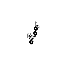 O=C(ON(CCc1cccc(F)c1)Cc1ccc(-c2ccc3[nH]cnc3c2)cc1)C(F)(F)F